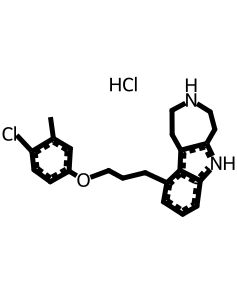 Cc1cc(OCCCc2cccc3[nH]c4c(c23)CCNCC4)ccc1Cl.Cl